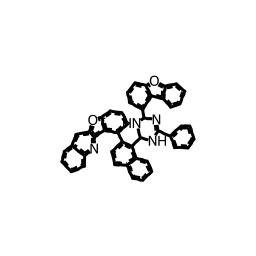 c1ccc(C2=NC(c3cccc4oc5ccccc5c34)NC(c3c(-c4cccc5oc6cc7ccccc7nc6c45)ccc4ccccc34)N2)cc1